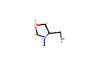 CC(C)CC1COCN1C